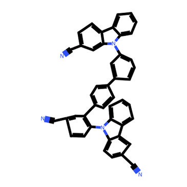 N#Cc1ccc(-n2c3ccccc3c3cc(C#N)ccc32)c(-c2ccc(-c3cccc(-n4c5ccccc5c5ccc(C#N)cc54)c3)cc2)c1